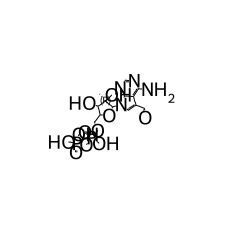 C[C@@]1(O)C(O)C(COP(=O)(O)OP(=O)(O)O)OC1n1cc(C=O)c2c(N)ncnc21